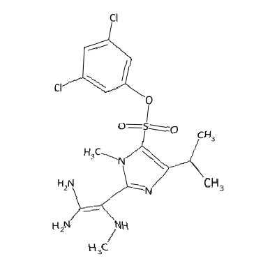 CNC(=C(N)N)c1nc(C(C)C)c(S(=O)(=O)Oc2cc(Cl)cc(Cl)c2)n1C